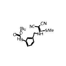 CSC(NCc1cccc(NC(=O)OC(C)(C)C)c1)=C(C#N)C#N